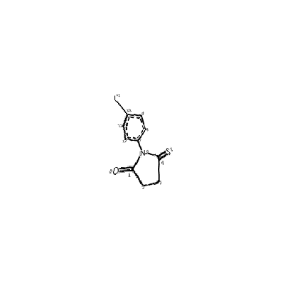 O=C1CCC(=S)N1c1ccc(I)cc1